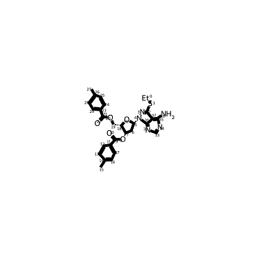 CCSc1nn([C@@H]2C[C@H](OC(=O)c3ccc(C)cc3)[C@H](COC(=O)c3ccc(C)cc3)O2)c2ncnc(N)c12